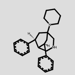 c1ccc([C@H]2CC3(N4CCCCC4)CNCC2[C@H](c2ccccc2)C3)cc1